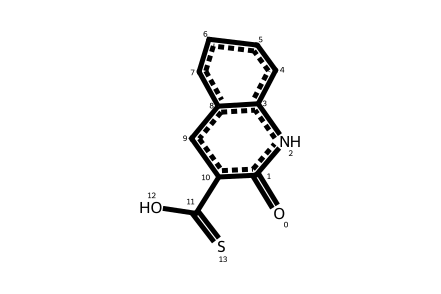 O=c1[nH]c2ccccc2cc1C(O)=S